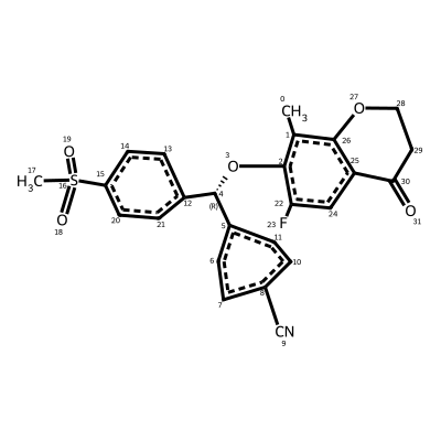 Cc1c(O[C@H](c2ccc(C#N)cc2)c2ccc(S(C)(=O)=O)cc2)c(F)cc2c1OCCC2=O